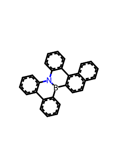 c1ccc2c(c1)B1c3ccc4ccccc4c3-c3ccccc3N1c1ccccc1-2